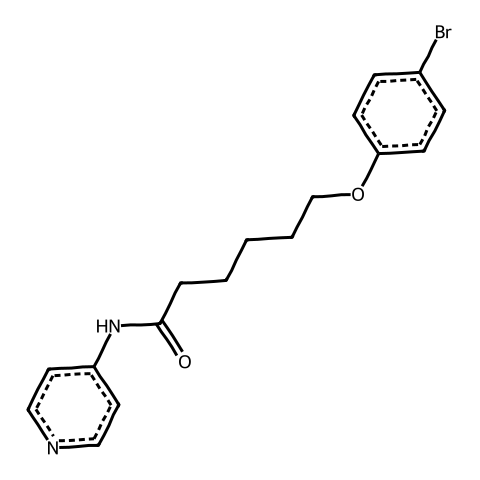 O=C(CCCCCOc1ccc(Br)cc1)Nc1ccncc1